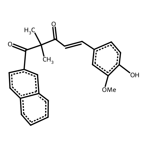 COc1cc(C=CC(=O)C(C)(C)C(=O)c2ccc3ccccc3c2)ccc1O